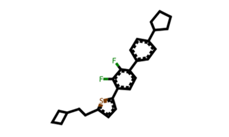 Fc1c(-c2ccc(C3CCCC3)cc2)ccc(-c2ccc(CCC3CCC3)s2)c1F